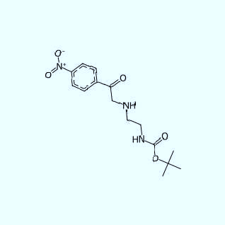 CC(C)(C)OC(=O)NCCNCC(=O)c1ccc([N+](=O)[O-])cc1